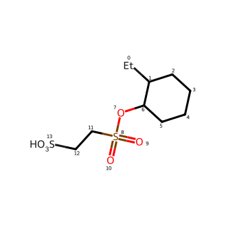 CCC1CCCCC1OS(=O)(=O)CCS(=O)(=O)O